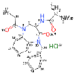 CNC(C)C(=O)NC1CN(C(=O)CC(C)C)c2ccccc2N(Cc2ccccc2)C1=O.Cl